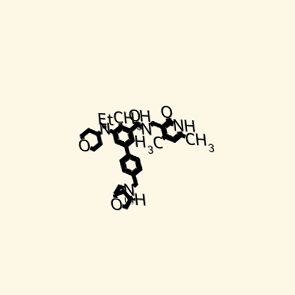 CCN(c1cc(-c2ccc(CN3CC4C[C@H]3CO4)cc2)cc(C(=O)NCc2c(C)cc(C)[nH]c2=O)c1C)C1CCOCC1